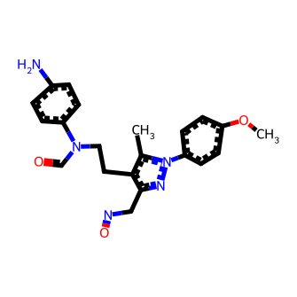 COc1ccc(-n2nc(CN=O)c(CCN(C=O)c3ccc(N)cc3)c2C)cc1